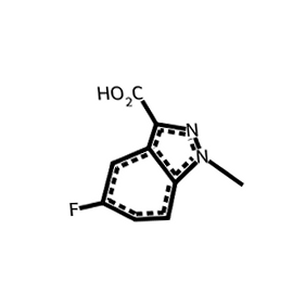 Cn1nc(C(=O)O)c2cc(F)ccc21